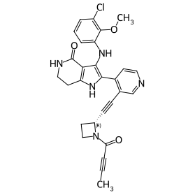 CC#CC(=O)N1CC[C@@H]1C#Cc1cnccc1-c1[nH]c2c(c1Nc1cccc(Cl)c1OC)C(=O)NCC2